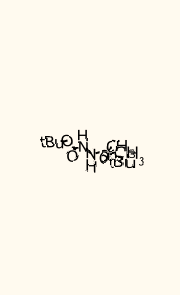 CC(C)(C)OC(=O)NNCO[Si](C)(C)C(C)(C)C